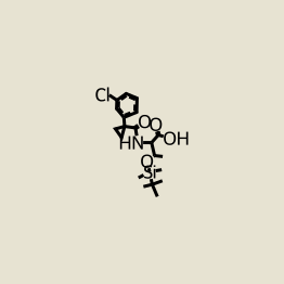 CC(O[Si](C)(C)C(C)(C)C)C(NC(=O)C1(c2cccc(Cl)c2)CC1)C(=O)O